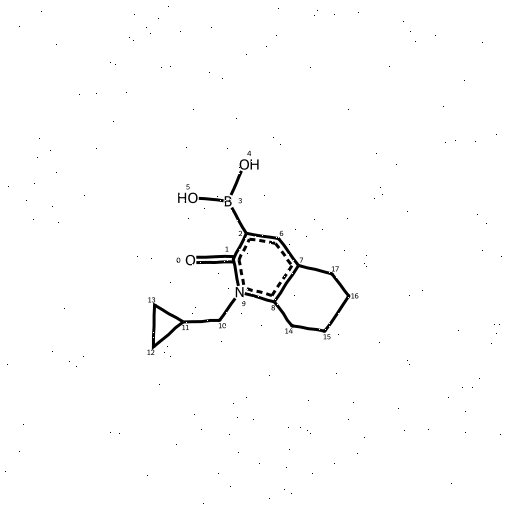 O=c1c(B(O)O)cc2c(n1CC1CC1)CCCC2